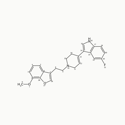 COc1cccc2c(CCN3CC=C(c4c[nH]c5ccc(F)cc45)CC3)coc12